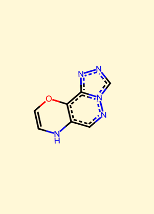 C1=COc2c(cnn3cnnc23)N1